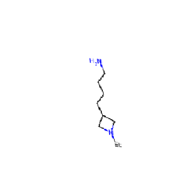 CCN1CC(CCCCN)C1